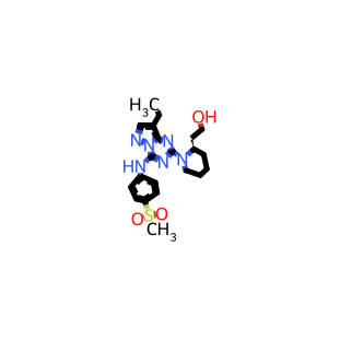 CCc1cnn2c(Nc3ccc(S(C)(=O)=O)cc3)nc(N3CCCC[C@H]3CCO)nc12